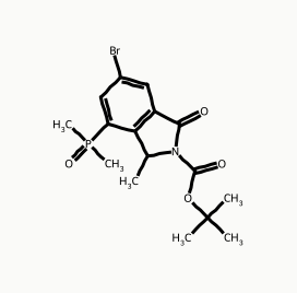 CC1c2c(cc(Br)cc2P(C)(C)=O)C(=O)N1C(=O)OC(C)(C)C